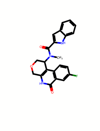 CN(C(=O)c1cc2ccccc2[nH]1)C1COCc2[nH]c(=O)c3cc(F)ccc3c21